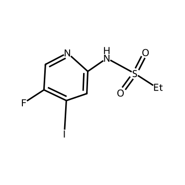 CCS(=O)(=O)Nc1cc(I)c(F)cn1